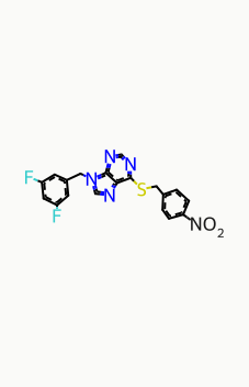 O=[N+]([O-])c1ccc(CSc2ncnc3c2ncn3Cc2cc(F)cc(F)c2)cc1